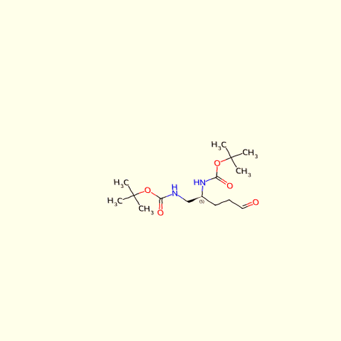 CC(C)(C)OC(=O)NC[C@H](CCC=O)NC(=O)OC(C)(C)C